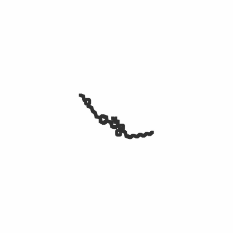 CCCCCCC/C=C\CC(=O)Oc1ccc(-c2ccc(CCCCCOCCC)cc2)nc1